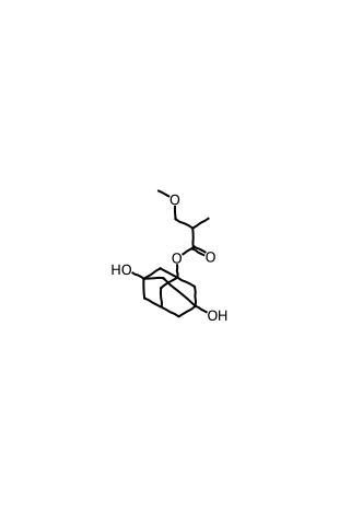 COCC(C)C(=O)OC12CC3CC(O)(CC(O)(C3)C1)C2